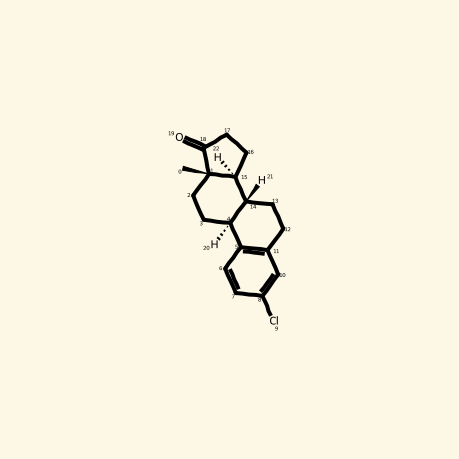 C[C@]12CC[C@@H]3c4ccc(Cl)cc4CC[C@H]3[C@@H]1CCC2=O